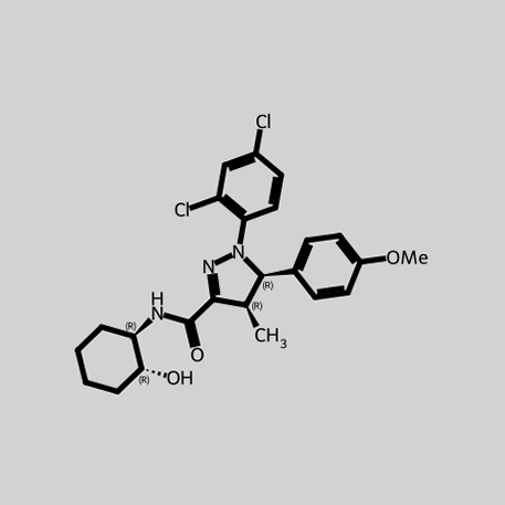 COc1ccc([C@H]2[C@@H](C)C(C(=O)N[C@@H]3CCCC[C@H]3O)=NN2c2ccc(Cl)cc2Cl)cc1